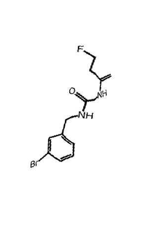 C=C(CCF)NC(=O)NCc1cccc(Br)c1